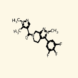 Cc1c(C(=O)N2CCc3c(nn(C)c3-c3cc(F)c(F)c(F)c3)C2)cnn1C